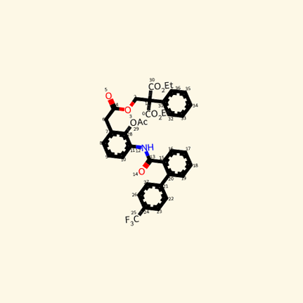 CCOC(=O)C(COC(=O)Cc1cccc(NC(=O)c2ccccc2-c2ccc(C(F)(F)F)cc2)c1OC(C)=O)(C(=O)OCC)c1ccccc1